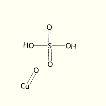 O=S(=O)(O)O.[O]=[Cu]